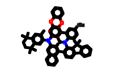 Cc1cc2c(cc1N1c3cc4c(cc3B3c5c1cc1ccccc1c5-c1ccc5c(c1N3c1ccc(C(C)(C)C)cc1-c1ccccc1)C(C)(C)c1ccccc1-5)Oc1ccccc1O4)C(C)(C)CCC2(C)C